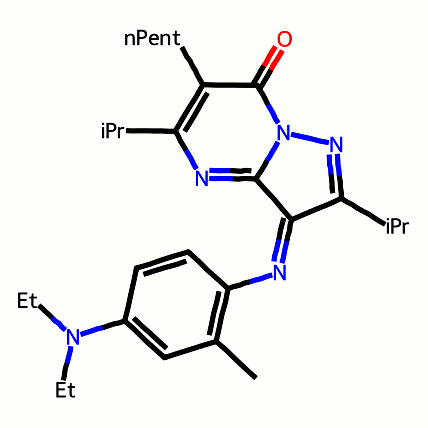 CCCCCc1c(C(C)C)nc2n(c1=O)N=C(C(C)C)C2=Nc1ccc(N(CC)CC)cc1C